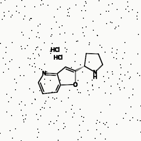 Cl.Cl.c1cnc2cc([C@@H]3CCCN3)oc2c1